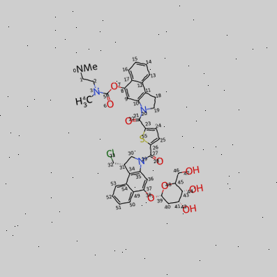 CNCCN(C)C(=O)Oc1cc2c(c3ccccc13)CCN2C(=O)c1ccc(C(=O)N2C[C@@H](CCl)c3c2cc(O[C@H]2C[C@@H](O)[C@@H](O)C(CO)O2)c2ccccc32)s1